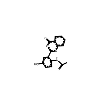 CC(=O)Nc1ccc(O)cc1-c1nc2ccccc2c(=O)o1